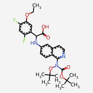 CCOc1cc(C(Nc2ccc3c(N(OC(C)(C)C)C(=O)OC(C)(C)C)nccc3c2)C(=O)O)c(F)cc1F